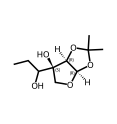 CCC(O)[C@@]1(O)CO[C@@H]2OC(C)(C)O[C@@H]21